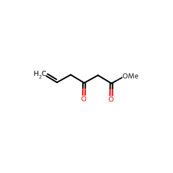 C=CCC(=O)CC(=O)OC